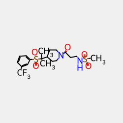 CC(C)(C1CCN(C(=O)CCNS(C)(=O)=O)CC1)S(=O)(=O)c1cccc(C(F)(F)F)c1